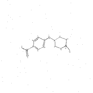 CC(=O)c1ccc(OC2CCN(C)CC2)cc1